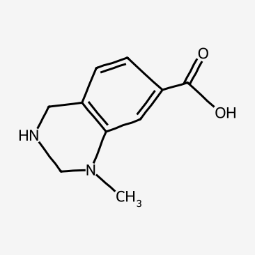 CN1CNCc2ccc(C(=O)O)cc21